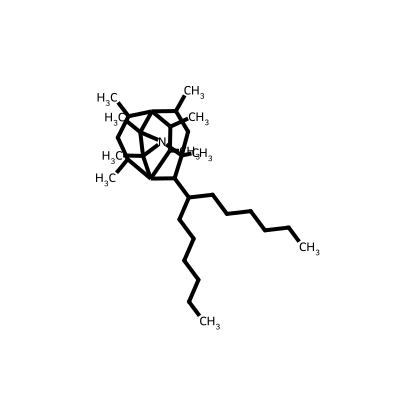 CCCCCCC(CCCCCC)C1C2(C)CC(C)C34C(C)CC(C)C1(C(C)C3C)C1(C)N2C41C